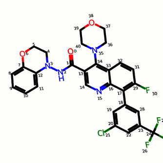 O=C(NN1CCOc2ccccc21)c1cnc2c(-c3cc(Cl)cc(C(F)(F)F)c3)c(F)ccc2c1N1CCOCC1